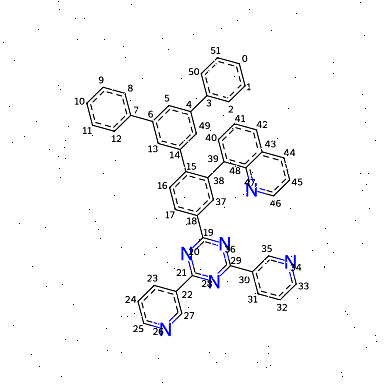 c1ccc(-c2cc(-c3ccccc3)cc(-c3ccc(-c4nc(-c5cccnc5)nc(-c5cccnc5)n4)cc3-c3cccc4cccnc34)c2)cc1